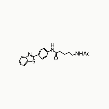 CC(=O)NCCCCC(=O)Nc1ccc(-c2nc3ccccc3s2)cc1